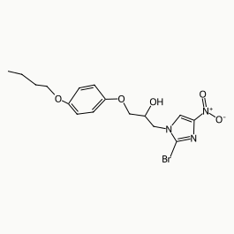 CCCCOc1ccc(OCC(O)Cn2cc([N+](=O)[O-])nc2Br)cc1